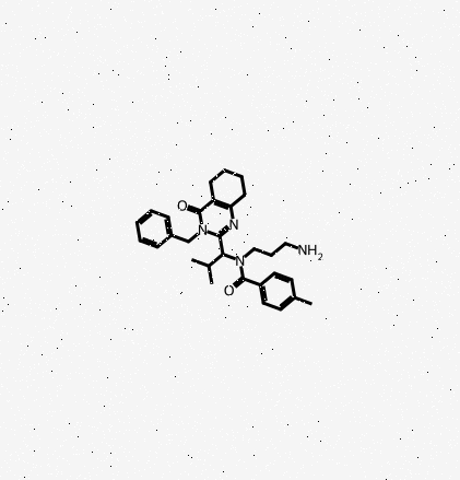 Cc1ccc(C(=O)N(CCCN)C(c2nc3c(c(=O)n2Cc2ccccc2)CCCC3)C(C)C)cc1